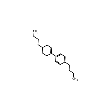 CCCCc1ccc(C2=CCC(CCCC)CC2)cc1